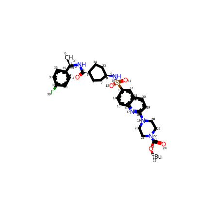 C[C@@H](NC(=O)[C@H]1CC[C@H](NS(=O)(=O)c2ccc3nc(N4CCN(C(=O)OC(C)(C)C)CC4)ccc3c2)CC1)c1ccc(F)cc1